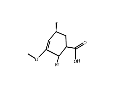 COC1=C[C@@H](C)CC(C(=O)O)C1Br